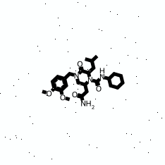 COc1ccc(CN2CC(CC(N)=O)N(C(=O)NC3CCCCC3)C(CC(C)C)C2=O)cc1OC